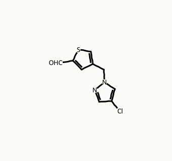 O=Cc1cc(Cn2cc(Cl)cn2)cs1